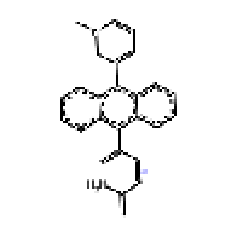 C=C(N)/C=C\C(=C)c1c2ccccc2c(C2=CC=CN(C)C2)c2ccccc12